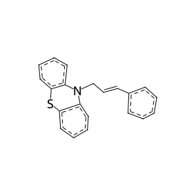 C(=C\c1ccccc1)/CN1c2ccccc2Sc2ccccc21